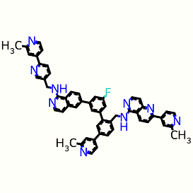 Cc1cc(-c2ccc(CNc3nccc4nc(-c5ccnc(C)c5)ccc34)c(-c3cc(F)cc(-c4ccc5c(NCc6ccc(-c7ccnc(C)c7)nc6)nccc5c4)c3)c2)ccn1